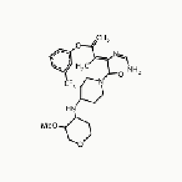 C=C(Oc1cccc(C(F)(F)F)c1)/C(C)=C(\N=C/N)C(=O)N1CCC(NC2CCOCC2OC)CC1